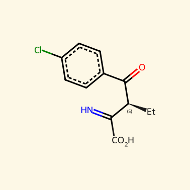 CC[C@@H](C(=N)C(=O)O)C(=O)c1ccc(Cl)cc1